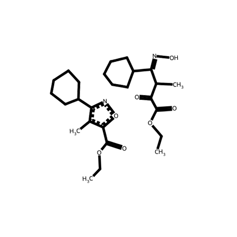 CCOC(=O)C(=O)C(C)C(=NO)C1CCCCC1.CCOC(=O)c1onc(C2CCCCC2)c1C